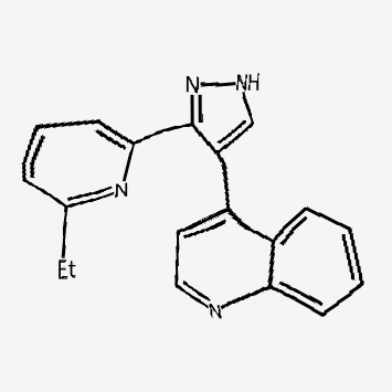 CCc1cccc(-c2n[nH]cc2-c2ccnc3ccccc23)n1